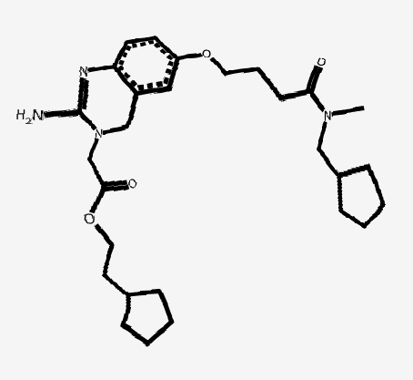 CN(CC1CCCC1)C(=O)CCCOc1ccc2c(c1)CN(CC(=O)OCCC1CCCC1)C(N)=N2